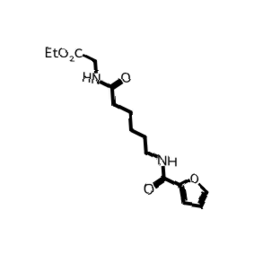 CCOC(=O)CNC(=O)CCCCCNC(=O)c1ccco1